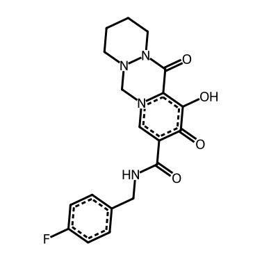 O=C(NCc1ccc(F)cc1)c1cn2c(c(O)c1=O)C(=O)N1CCCCN1C2